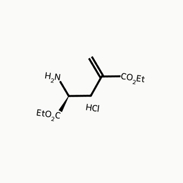 C=C(C[C@H](N)C(=O)OCC)C(=O)OCC.Cl